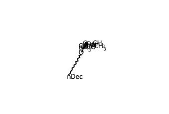 CCCCCCCCCCCCCCCCCCCCCCCCOC[C@H](COP(=O)(O)OCC[N+](C)(C)C)OO